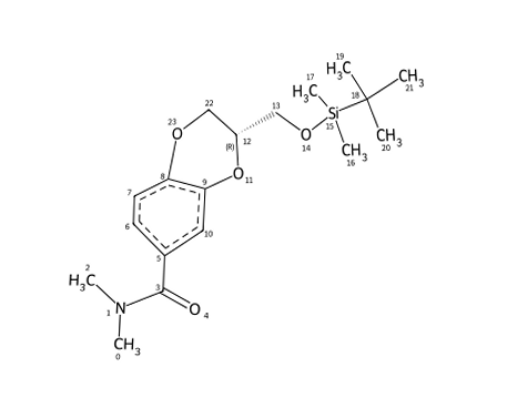 CN(C)C(=O)c1ccc2c(c1)O[C@@H](CO[Si](C)(C)C(C)(C)C)CO2